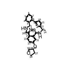 CNCc1ccccc1-c1ccc([C@@H](C)Nc2nnc(C)c3ccc(O[C@H]4CCOC4)cc23)s1